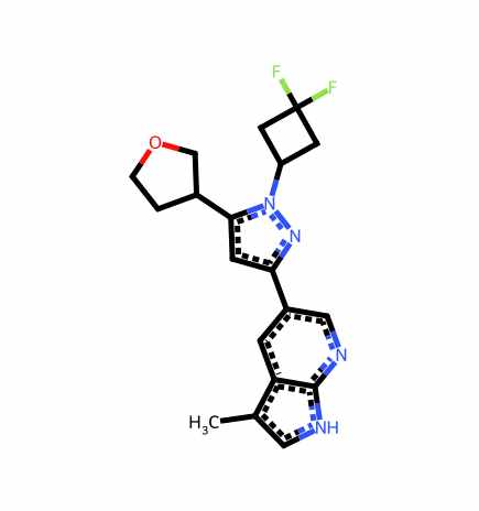 Cc1c[nH]c2ncc(-c3cc(C4CCOC4)n(C4CC(F)(F)C4)n3)cc12